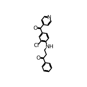 O=C(CCNc1ccc(C(=O)c2ccncc2)cc1Cl)c1ccccc1